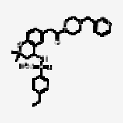 CCc1ccc(S(=O)(=O)N[C@@H]2c3cc(CC(=O)N4CCN(Cc5cccnc5)CC4)ccc3OC(C)(C)[C@H]2O)cc1